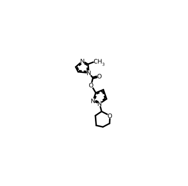 Cc1nccn1C(=O)Oc1ccn(C2CCCCO2)n1